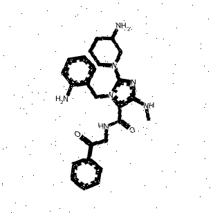 CNc1nc(N2CCCC(N)C2)n(Cc2ccccc2N)c1C(=O)NCC(=O)c1ccccc1